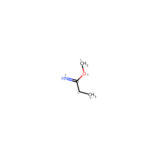 CCC(=N)OC